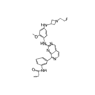 C=CC(=O)Nc1cccc(-c2nccc3cnc(Nc4ccc(NC5CN(CCF)C5)cc4OC)nc23)c1